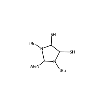 CNC1N(C(C)(C)C)C(S)C(S)N1C(C)(C)C